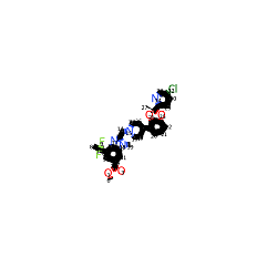 COC(=O)c1cc(C(C)(F)F)c2nc(CN3CCC(c4cccc5c4O[C@@](C)(c4ccc(Cl)cn4)O5)CC3)n(C)c2c1